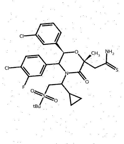 CC(C)(C)S(=O)(=O)CC(C1CC1)N1C(=O)[C@@](C)(CC(N)=S)O[C@H](c2cccc(Cl)c2)C1c1ccc(Cl)c(F)c1